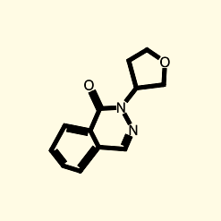 O=c1c2ccccc2cnn1C1CCOC1